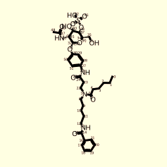 CCCCCC(=O)N(CCCCCNC(=O)c1ccccc1)CCC(=O)Nc1ccc(O[C@@H]2O[C@H](CO)[C@H](OS(=O)(=O)O)[C@H](O)[C@H]2NC(C)=O)cc1